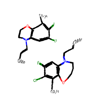 CCOC(=O)c1c(Cl)c(F)cc2c1OCCN2CCOC.COCCN1CCOc2c1cc(Cl)c(F)c2C(=O)O